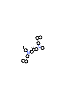 C=Cc1ccc(N(c2ccc(-c3cccc4ccccc34)cc2)c2ccc3c(c2)C(C)(C)c2cc(N(c4ccccc4)c4ccc(-c5cccc6ccccc56)cc4)ccc2-3)cc1